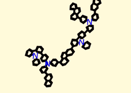 c1ccc(-n2c3cc(-c4cccc(N(c5ccc(-c6cccc7c6ccc6ccccc67)cc5)c5cccc(-c6ccc7ccccc7c6)c5)c4)ccc3c3ccc(-c4ccc5c(ccc6c(-c7ccc(N(c8ccc(-c9cccc%10c%11ccccc%11n(-c%11ccccc%11)c9%10)cc8)c8cccc(-c9ccc%10ccccc%10c9)c8)cc7)cccc65)c4)cc32)cc1